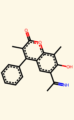 CC(=N)c1cc2c(-c3ccccc3)c(C)c(=O)oc2c(C)c1O